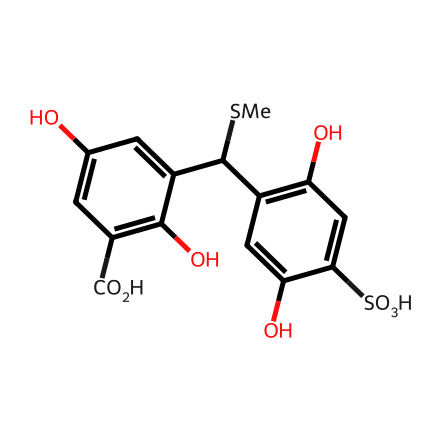 CSC(c1cc(O)c(S(=O)(=O)O)cc1O)c1cc(O)cc(C(=O)O)c1O